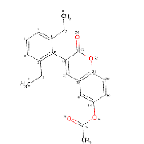 CCc1cccc(CC)c1-c1cc2cc(OC(C)=O)ccc2oc1=O